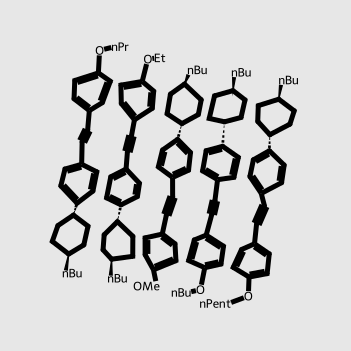 CCCCCOc1ccc(C#Cc2ccc([C@H]3CC[C@H](CCCC)CC3)cc2)cc1.CCCCOc1ccc(C#Cc2ccc([C@H]3CC[C@H](CCCC)CC3)cc2)cc1.CCCC[C@H]1CC[C@H](c2ccc(C#Cc3ccc(OC)cc3)cc2)CC1.CCCC[C@H]1CC[C@H](c2ccc(C#Cc3ccc(OCC)cc3)cc2)CC1.CCCC[C@H]1CC[C@H](c2ccc(C#Cc3ccc(OCCC)cc3)cc2)CC1